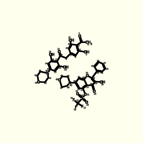 CC(=O)c1c(O)cc(CC(=O)c2c(O)cc(N3CCOCC3)cc2O)cc1O.O=c1c(O)c(-c2ccccc2)oc2cc(N3CCOCC3)cc(OS(=O)(=O)C(F)(F)F)c12